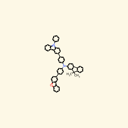 CC1(C)c2ccccc2-c2ccc(N(c3ccc(-c4ccc5oc6ccccc6c5c4)cc3)c3ccc(-c4ccc5c(c4)c4ccccc4n5-c4ccccc4)cc3)cc21